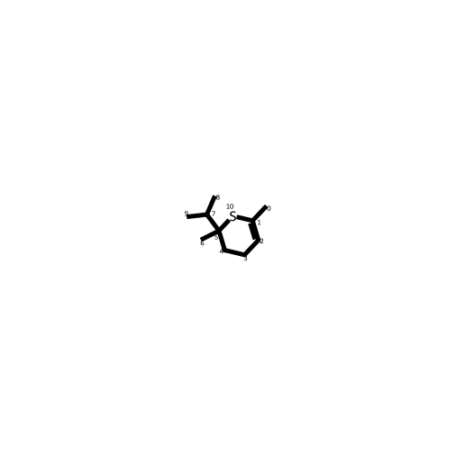 CC1=CCCC(C)(C(C)C)S1